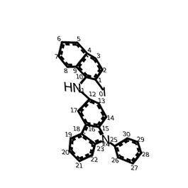 Ic1ccc2ccccc2c1Nc1ccc2c(c1)c1ccccc1n2-c1ccccc1